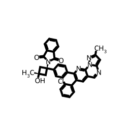 Cc1cc2ncc3cc(-c4ccccc4Cl)c(-c4ccc([C@]5(N6C(=O)c7ccccc7C6=O)C[C@](C)(O)C5)cc4)nc3n2n1